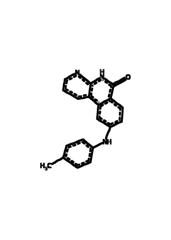 Cc1ccc(Nc2ccc3c(=O)[nH]c4ncccc4c3c2)cc1